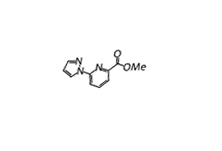 COC(=O)c1cccc(-n2cccn2)n1